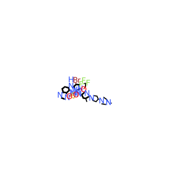 Cc1cc(Nc2ncc(Br)c(Nc3ccc4nccnc4c3NS(C)(=O)=O)n2)c(OCC(F)(F)F)nc1N1CCC(N2CCN(C)CC2)CC1